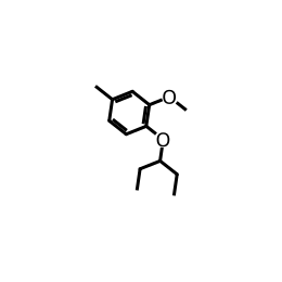 CCC(CC)Oc1ccc(C)cc1OC